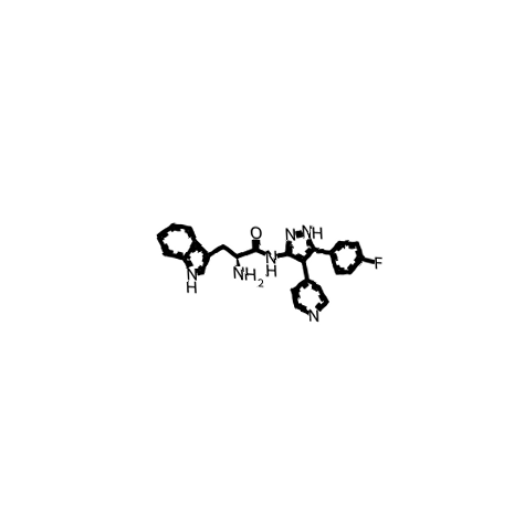 N[C@@H](Cc1c[nH]c2ccccc12)C(=O)Nc1n[nH]c(-c2ccc(F)cc2)c1-c1ccncc1